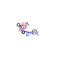 CCOC(=O)c1c(NC(=O)c2cccc(CNCCN(CC)CC)c2)sc2c1CCCC2